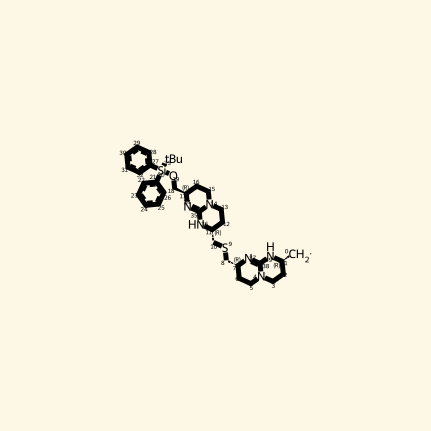 [CH2][C@@H]1CCN2CC[C@H](CSC[C@H]3CCN4CC[C@H](CO[Si](c5ccccc5)(c5ccccc5)C(C)(C)C)N=C4N3)N=C2N1